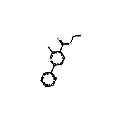 CCOC(=O)c1ccc(-c2ccccc2)nc1C